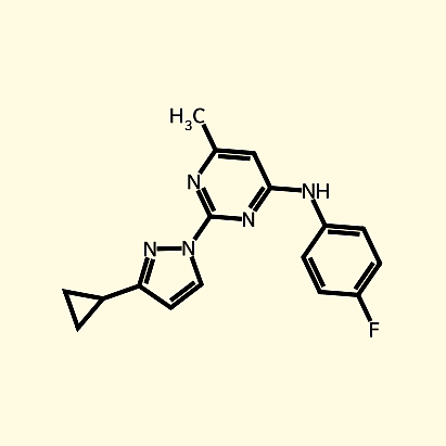 Cc1cc(Nc2ccc(F)cc2)nc(-n2ccc(C3CC3)n2)n1